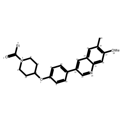 CCC(=O)N1CCC(Oc2ccc(-c3cnc4cc(OC)c(C)cc4c3)cc2)CC1